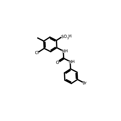 Cc1cc(S(=O)(=O)O)c(NC(=O)Nc2cccc(Br)c2)cc1Cl